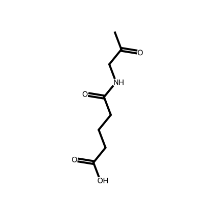 CC(=O)CNC(=O)CCCC(=O)O